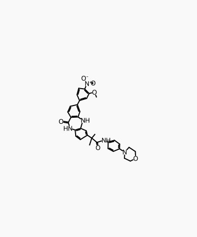 COc1cc(-c2ccc3c(c2)Nc2cc(C(C)(C)C(=O)Nc4ccc(N5CCOCC5)cc4)ccc2NC3=O)ccc1[N+](=O)[O-]